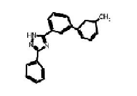 CC1C=CC=C(c2cccc(-c3nc(-c4ccccc4)n[nH]3)c2)C1